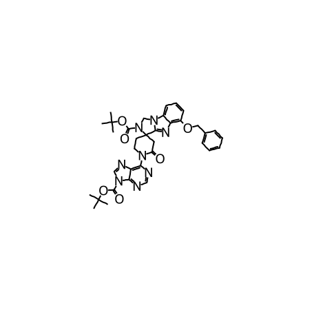 CC(C)(C)OC(=O)N1Cn2c(nc3c(OCc4ccccc4)cccc32)C12CCN(c1ncnc3c1ncn3C(=O)OC(C)(C)C)C(=O)C2